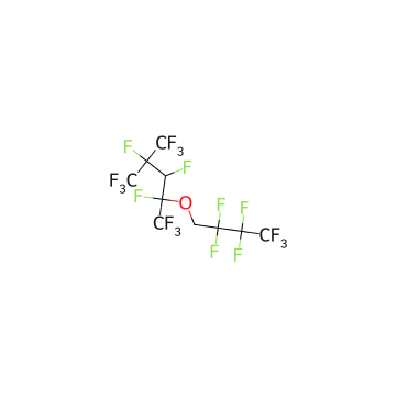 FC(C(F)(OCC(F)(F)C(F)(F)C(F)(F)F)C(F)(F)F)C(F)(C(F)(F)F)C(F)(F)F